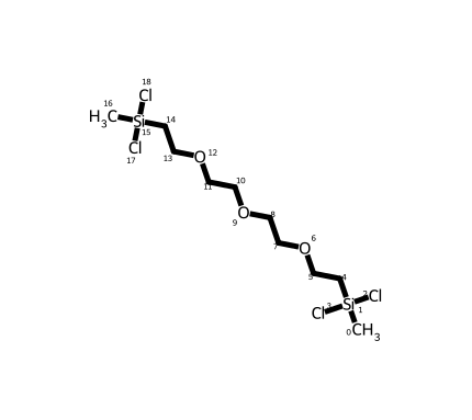 C[Si](Cl)(Cl)CCOCCOCCOCC[Si](C)(Cl)Cl